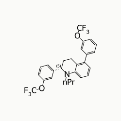 CCCN1c2cccc(-c3cccc(OC(F)(F)F)c3)c2CC[C@H]1c1cccc(OC(F)(F)F)c1